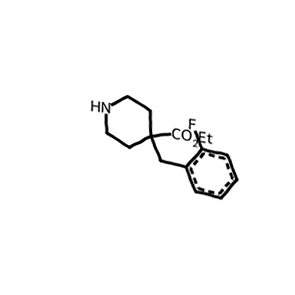 CCOC(=O)C1(Cc2ccccc2F)CCNCC1